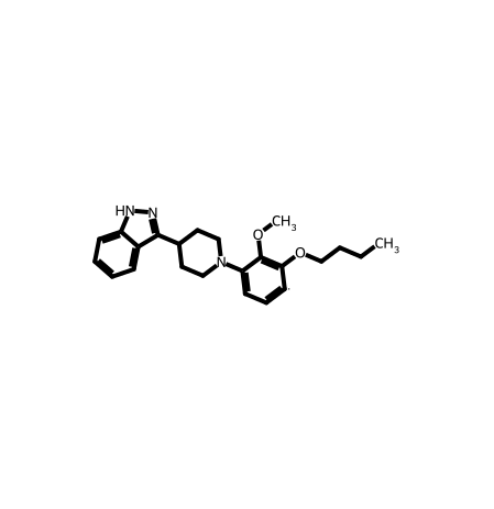 CCCCOc1[c]ccc(N2CCC(c3n[nH]c4ccccc34)CC2)c1OC